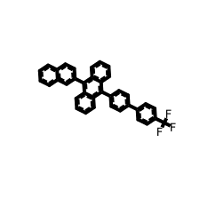 FC(F)(F)c1ccc(-c2ccc(-c3c4ccccc4c(-c4ccc5ccccc5c4)c4ccccc34)cc2)cc1